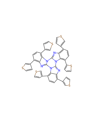 c1csc(-c2ccc(-c3ccsc3)c3nc4n5c6c(-c7ccsc7)ccc(-c7ccsc7)c6nc5n5c6c(-c7ccsc7)ccc(-c7ccsc7)c6nc5n4c23)c1